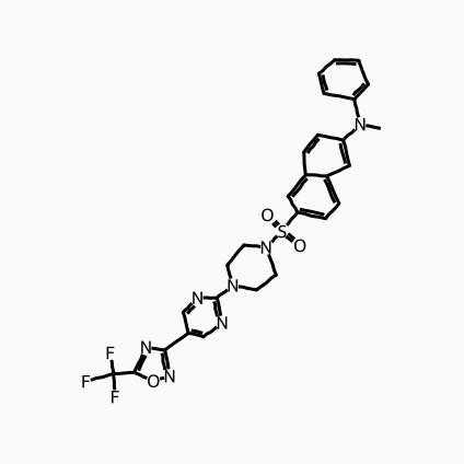 CN(c1ccccc1)c1ccc2cc(S(=O)(=O)N3CCN(c4ncc(-c5noc(C(F)(F)F)n5)cn4)CC3)ccc2c1